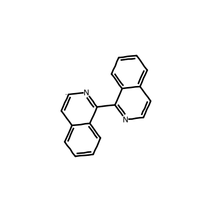 [c]1cc2ccccc2c(-c2nccc3ccccc23)n1